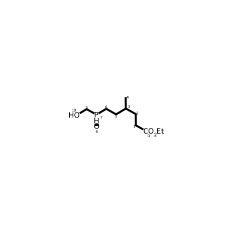 CCOC(=O)CCC(C)CC[PH](=O)CO